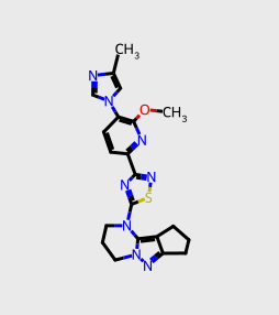 COc1nc(-c2nsc(N3CCCn4nc5c(c43)CCC5)n2)ccc1-n1cnc(C)c1